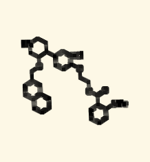 CSc1ccccc1C(=O)OCCOc1ccc(C2CCNCC2OCc2ccc3ccccc3c2)cc1.Cl